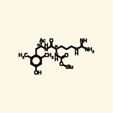 CC(=O)[C@H](Cc1c(C)cc(O)cc1C)NC(=O)[C@@H](CCCNC(=N)N)NC(=O)OC(C)(C)C